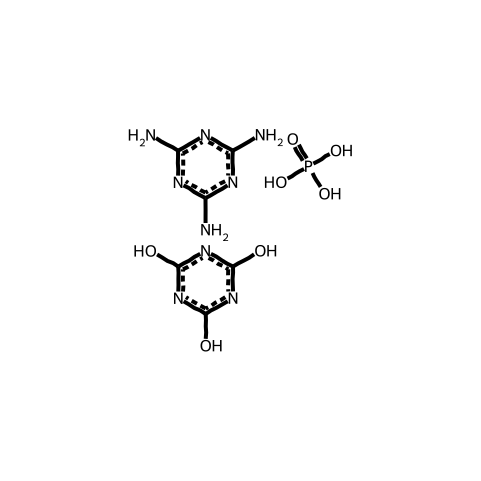 Nc1nc(N)nc(N)n1.O=P(O)(O)O.Oc1nc(O)nc(O)n1